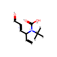 C=CC(/C=C/C=O)N(C(=O)O)C(C)(C)C